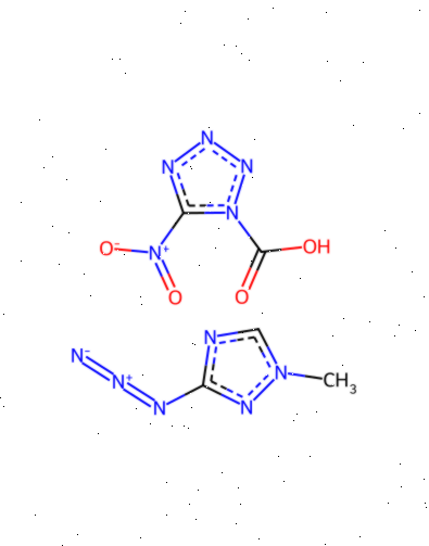 Cn1cnc(N=[N+]=[N-])n1.O=C(O)n1nnnc1[N+](=O)[O-]